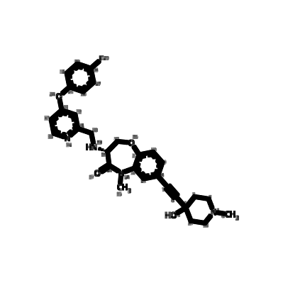 CN1CCC(O)(C#Cc2ccc3c(c2)N(C)C(=O)[C@H](NCc2cc(Oc4ccc(F)cc4)ccn2)CO3)CC1